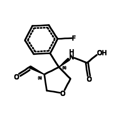 O=C[C@@H]1COC[C@@]1(NC(=O)O)c1ccccc1F